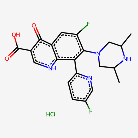 CC1CN(c2c(F)cc3c(=O)c(C(=O)O)c[nH]c3c2-c2ccc(F)cn2)CC(C)N1.Cl